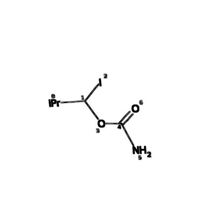 CC(C)C(I)OC(N)=O